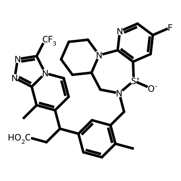 Cc1ccc(C(CC(=O)O)c2ccn3c(C(F)(F)F)nnc3c2C)cc1CN1CC2CCCCN2c2ncc(F)cc2[S+]1[O-]